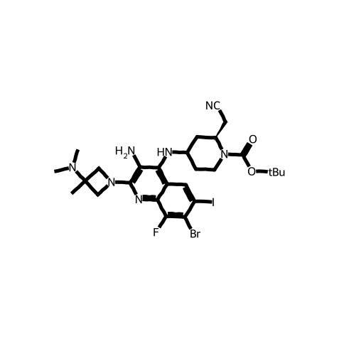 CN(C)C1(C)CN(c2nc3c(F)c(Br)c(I)cc3c(NC3CCN(C(=O)OC(C)(C)C)[C@H](CC#N)C3)c2N)C1